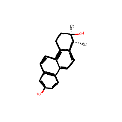 CC[C@@H]1c2ccc3c(ccc4cc(O)ccc43)c2CC[C@]1(O)CC